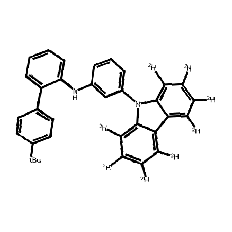 [2H]c1c([2H])c([2H])c2c(c1[2H])c1c([2H])c([2H])c([2H])c([2H])c1n2-c1cccc(Nc2ccccc2-c2ccc(C(C)(C)C)cc2)c1